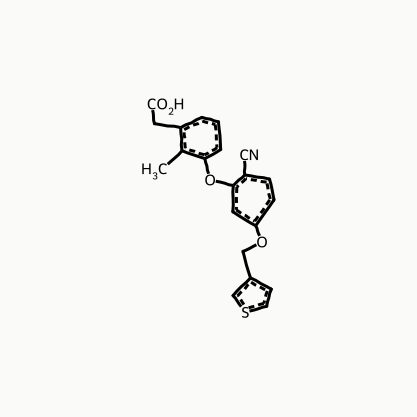 Cc1c(CC(=O)O)cccc1Oc1cc(OCc2ccsc2)ccc1C#N